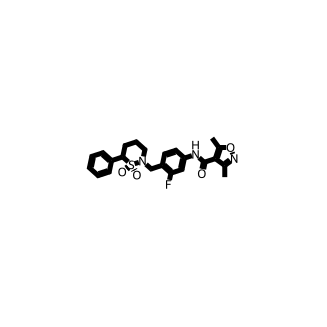 Cc1noc(C)c1C(=O)Nc1ccc(CN2CCCC(c3ccccc3)S2(=O)=O)c(F)c1